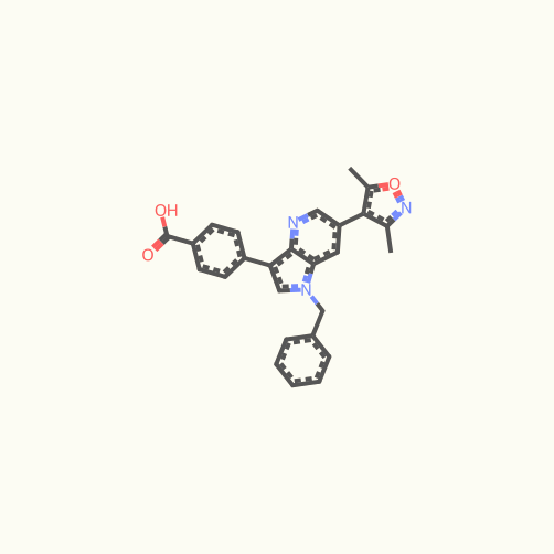 Cc1noc(C)c1-c1cnc2c(-c3ccc(C(=O)O)cc3)cn(Cc3ccccc3)c2c1